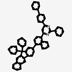 c1ccc(-c2ccc(-c3cc(-c4ccc(-c5ccc6c(c5)C(c5ccccc5)(c5ccccc5)c5cc7ccccc7cc5-6)c5ccccc45)nc(-c4ccccc4)n3)cc2)cc1